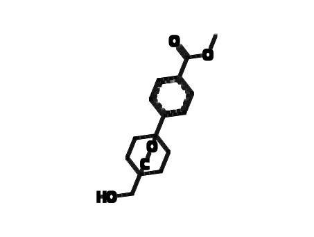 COC(=O)c1ccc(C23CCC(CO)(CC2)CO3)cc1